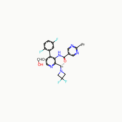 CC(C)c1ncc(C(=O)Nc2c(-c3cc(F)ccc3F)ccnc2[C@H](C)N2CC(F)(F)C2)cn1.O=CO